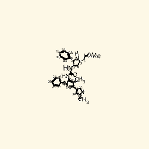 COCC[C@@H]1C[C@@H](NC(=O)Nc2c(C)c(-c3cnn(C)c3)nn2-c2ccccc2)[C@H](c2ccccc2)N1